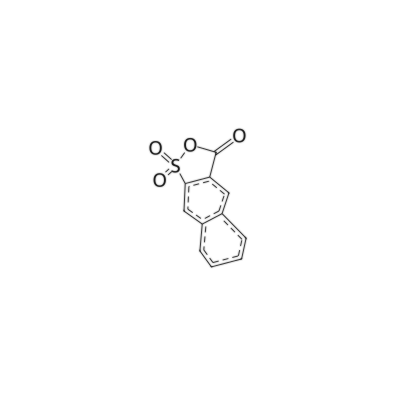 O=C1OS(=O)(=O)c2cc3ccccc3cc21